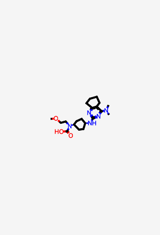 COCCN(C(=O)O)[C@H]1CC[C@@H](Nc2nc3c(c(N(C)C)n2)CCCC3)CC1